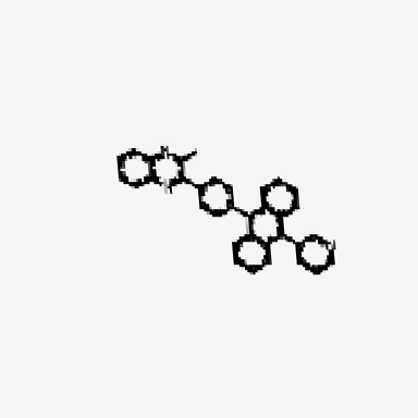 Cc1nc2ccccc2nc1-c1ccc(-c2c3ccccc3c(-c3cccnc3)c3ccccc23)cc1